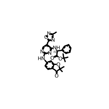 Cc1noc(-c2cnc(Nc3ccc4c(c3)OC(C)(C)C4=O)nc2N[C@H](C(=O)OC(C)(C)C)c2ccccc2)n1